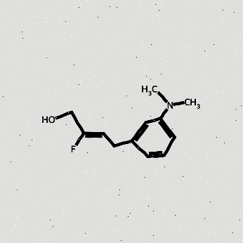 CN(C)c1cccc(CC=C(F)CO)c1